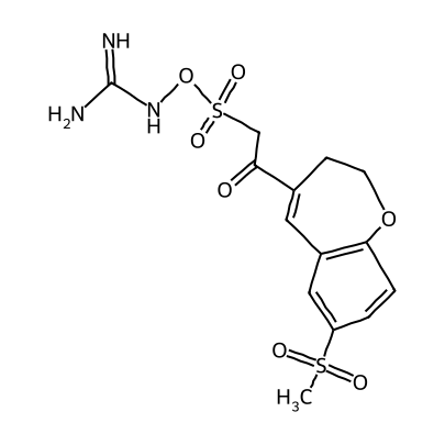 CS(=O)(=O)c1ccc2c(c1)C=C(C(=O)CS(=O)(=O)ONC(=N)N)CCO2